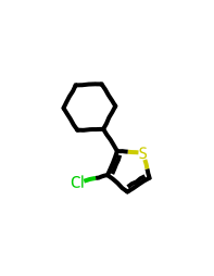 Clc1ccsc1C1CCCCC1